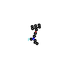 CC1(C)c2ccccc2-c2ccc(N(c3ccc(F)cc3)c3ccc(-c4ccc(-c5ccc6c(-c7cccc8ccccc78)c7ccccc7c(-c7cccc8ccccc78)c6c5)cc4)cc3)cc21